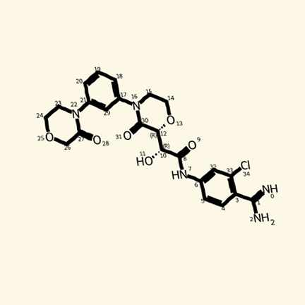 N=C(N)c1ccc(NC(=O)[C@H](O)[C@H]2OCCN(c3cccc(N4CCOCC4=O)c3)C2=O)cc1Cl